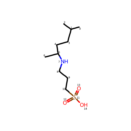 CC(C)CCC(C)NCCCS(=O)(=O)O